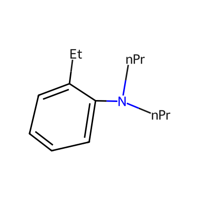 CCCN(CCC)c1ccccc1CC